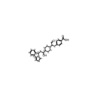 O=CC(Cc1ccc(C(=O)O)cc1)N1CCC(C(O)CC2c3ccccc3-c3cncn32)CC1